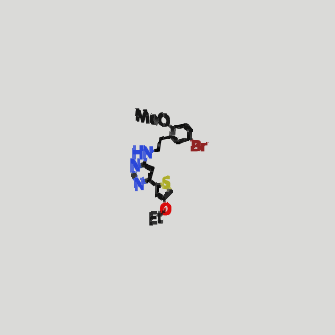 CCOc1csc(-c2cc(NCCc3cc(Br)ccc3OC)ncn2)c1